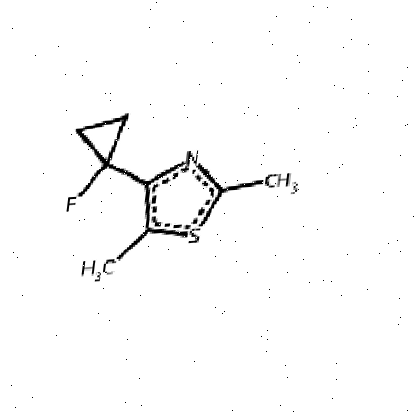 Cc1nc(C2(F)CC2)c(C)s1